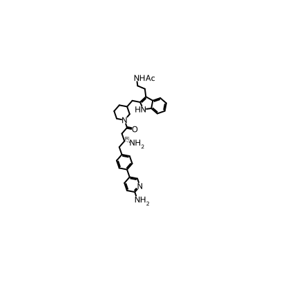 CC(=O)NCCc1c(CC2CCCN(C(=O)C[C@H](N)Cc3ccc(-c4ccc(N)nc4)cc3)C2)[nH]c2ccccc12